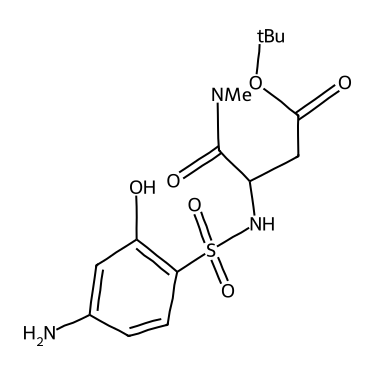 CNC(=O)C(CC(=O)OC(C)(C)C)NS(=O)(=O)c1ccc(N)cc1O